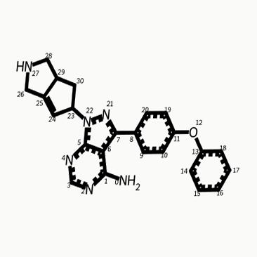 Nc1ncnc2c1c(-c1ccc(Oc3ccccc3)cc1)nn2C1C=C2CNCC2C1